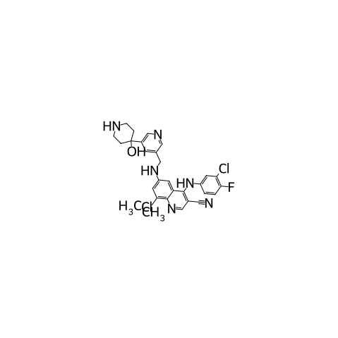 CC.N#Cc1cnc2c(Cl)cc(NCc3cncc(C4(O)CCNCC4)c3)cc2c1Nc1ccc(F)c(Cl)c1